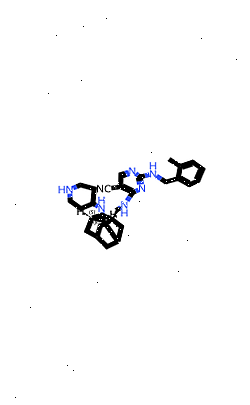 Cc1ccccc1CNc1ncc(C#N)c(NC[C@]23CC4CC(C2)[C@@H](NC2CCNCC2)[C@@H](C4)C3)n1